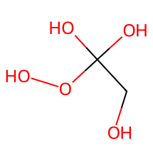 OCC(O)(O)OO